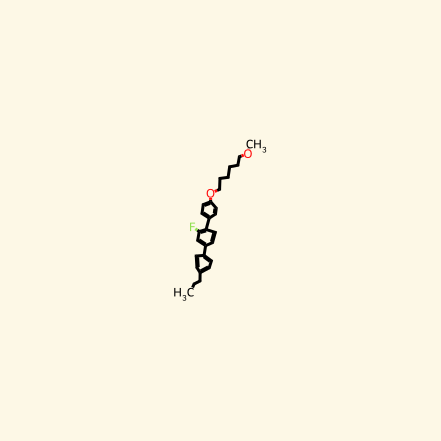 CCCc1ccc(-c2ccc(-c3ccc(OCCCCCCOC)cc3)c(F)c2)cc1